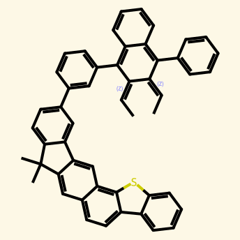 C/C=c1/c(-c2ccccc2)c2ccccc2c(-c2cccc(-c3ccc4c(c3)-c3cc5c(ccc6c7ccccc7sc56)cc3C4(C)C)c2)/c1=C/C